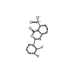 O=c1oc(-c2cccc(F)c2F)nc2cccc([N+](=O)[O-])c12